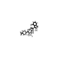 C[C@@H](Nc1nnc(-c2[nH]nc3cccc(F)c23)o1)C(=O)N1CCC2(CC1)CC2